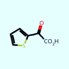 O=C(O)C(=O)c1cccs1